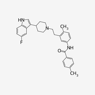 Cc1ccc(C(=O)Nc2ccc(C)c(CCN3CCC(c4c[nH]c5ccc(F)cc45)CC3)c2)cc1